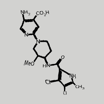 COC1CN(c2cc(C(=O)O)c(N)cn2)CCC1NC(=O)c1[nH]c(C)c(Cl)c1Cl